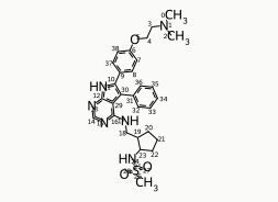 CN(C)CCOc1ccc(-c2[nH]c3ncnc(NCC4CCCC4NS(C)(=O)=O)c3c2-c2ccccc2)cc1